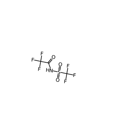 O=C(NS(=O)(=O)C(F)(F)F)C(F)(F)F